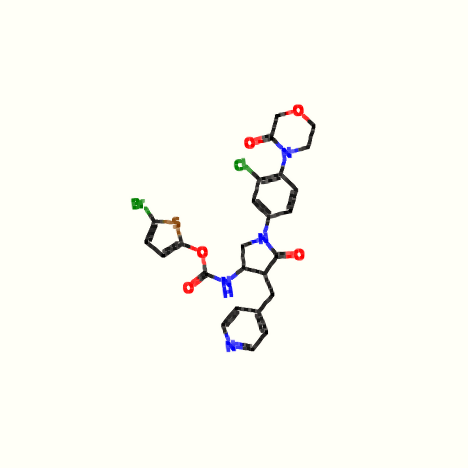 O=C(NC1CN(c2ccc(N3CCOCC3=O)c(Cl)c2)C(=O)C1Cc1ccncc1)Oc1ccc(Br)s1